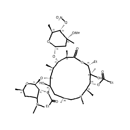 CCC(=O)O[C@@H]1C(N(C)C)C[C@@H](C)O[C@H]1O[C@@H]1[C@@H](C)[C@H](O[C@H]2C[C@@](C)(OC)[C@@H](O[N+](=O)[O-])[C@H](C)O2)[C@@H](C)C(=O)O[C@H](CC)[C@@](C)(O)[C@H](OC(=O)CC)[C@@H](C)N(C)C[C@H](C)C[C@@]1(C)O